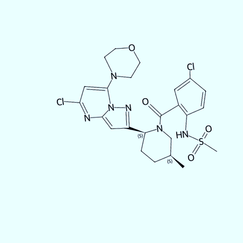 C[C@H]1CC[C@@H](c2cc3nc(Cl)cc(N4CCOCC4)n3n2)N(C(=O)c2cc(Cl)ccc2NS(C)(=O)=O)C1